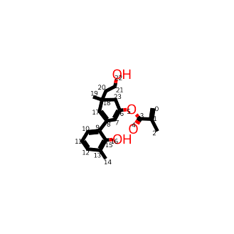 C=C(C)C(=O)OC1=CC(c2cccc(C)c2O)=CC(C)(CCO)C1